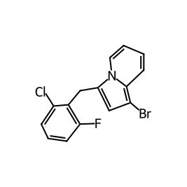 Fc1cccc(Cl)c1Cc1cc(Br)c2ccccn12